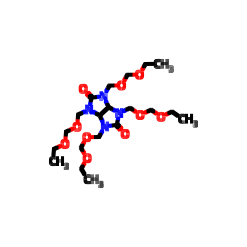 CCOCOCN1C(=O)N(COCOCC)C2C1N(COCOCC)C(=O)N2COCOCC